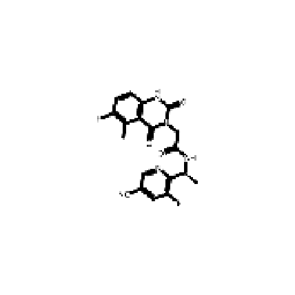 Cc1c(F)ccc2[nH]c(=O)n(CC(=O)N[C@@H](C)c3ncc(C#N)cc3F)c(=O)c12